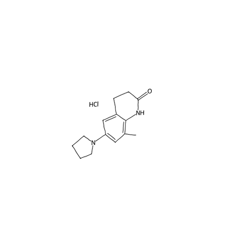 Cc1cc(N2CCCC2)cc2c1NC(=O)CC2.Cl